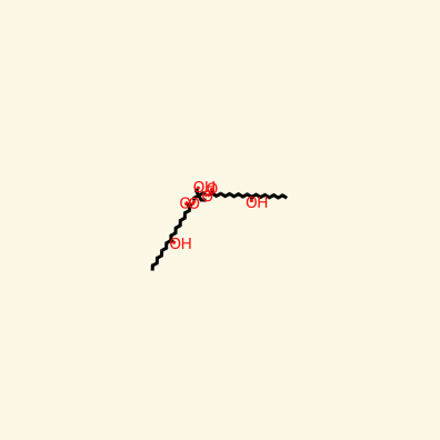 CCCCCCCCC(O)CCCCCCCCC(=O)OCC(CC)(CO)COC(=O)CCCCCCCCC(O)CCCCCCCC